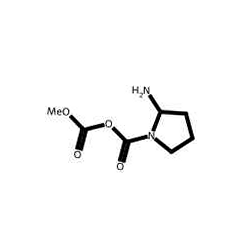 COC(=O)OC(=O)N1CCCC1N